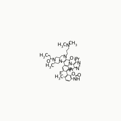 C=CC(=O)N1CC2CN(CCCN(C)C)c3c(c4cc(F)c(-c5c(C)ccc6[nH]c(=O)oc56)c(F)c4n(-c4c(C(C)C)ncnc4C(C)C)c3=O)N2CC1C